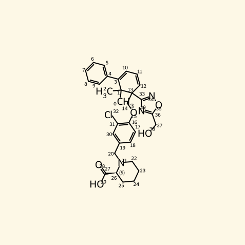 CC1(C)C(c2ccccc2)=CC=CC1(COc1ccc(CN2CCCC[C@H]2C(=O)O)cc1Cl)c1noc(CO)n1